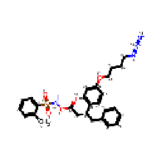 [CH2]c1ccccc1S(=O)(=O)NOC(=O)C[C@H](Cc1ccccc1)c1ccc(OCCCCN=[N+]=[N-])cc1